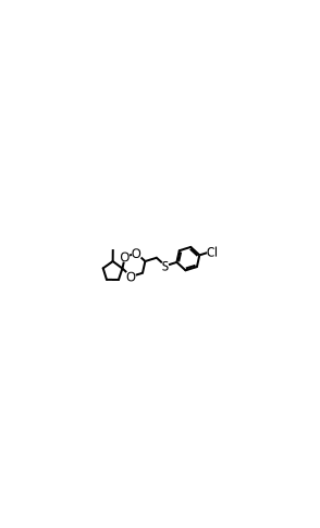 CC1CCCC12OCC(CSc1ccc(Cl)cc1)OO2